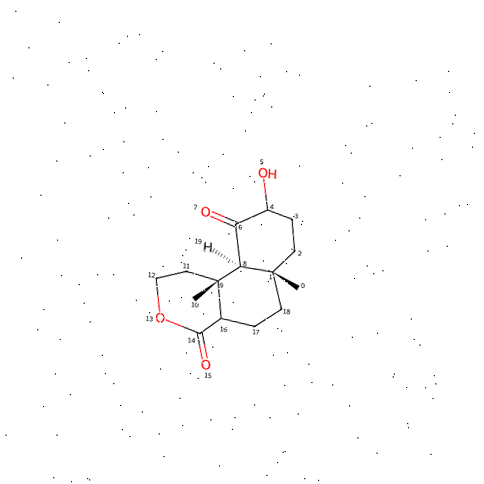 C[C@]12CCC(O)C(=O)[C@@H]1[C@@]1(C)CCOC(=O)C1CC2